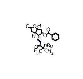 CCCCC(C)(C(=O)/C=C/[C@@H]1[C@H]2CC(=O)O[C@H]2C[C@H]1OC(=O)c1ccccc1)C(F)(F)F